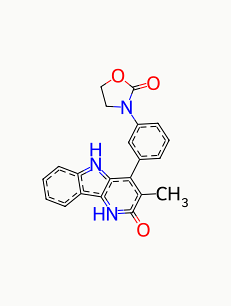 Cc1c(-c2cccc(N3CCOC3=O)c2)c2[nH]c3ccccc3c2[nH]c1=O